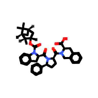 C[C@@H]1[C@@H](OC(=O)N2c3ccccc3C[C@@H]2C(=O)N2[C@@H](C(=O)N3Cc4ccccc4C[C@@H]3C(=O)O)CC[C@H]2c2ccccc2)C[C@H]2C[C@@H]1C2(C)C